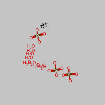 O.O.O.O.O.O.O.O.O.O=S(=O)([O-])[O-].O=S(=O)([O-])[O-].O=S(=O)([O-])[O-].[La+3].[La+3]